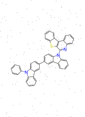 c1ccc(-n2c3ccccc3c3cc(-c4ccc5c(c4)c4ccccc4n5-c4nc5ccccc5c5c4sc4ccccc45)ccc32)cc1